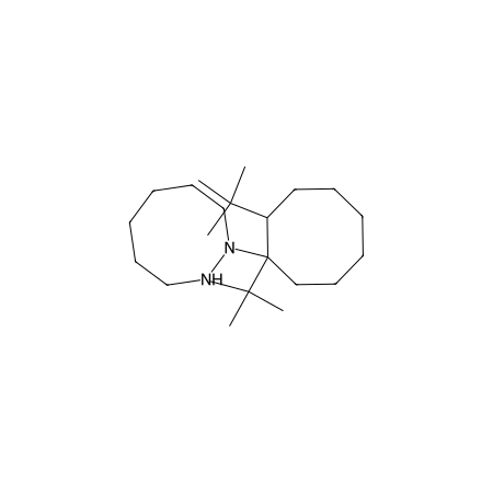 CC(C)(C)C1CCCCCCC1(N1CCCCCCN1)C(C)(C)C